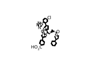 O=C(O)c1ccc(-c2cnn(C(C[C@@H]3C[C@@H]3C(=O)N3CCC(c4ccccc4)C3)c3ccc(-c4cc(Cl)ccc4-n4cnnn4)c[n+]3[O-])c2)cc1